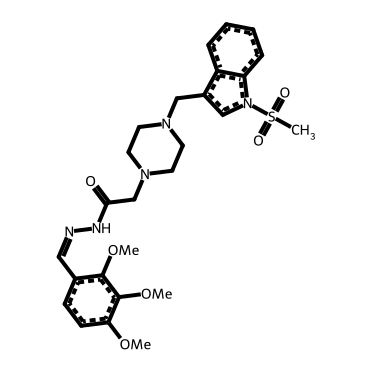 COc1ccc(/C=N\NC(=O)CN2CCN(Cc3cn(S(C)(=O)=O)c4ccccc34)CC2)c(OC)c1OC